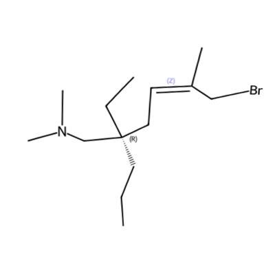 CCC[C@](CC)(C/C=C(/C)CBr)CN(C)C